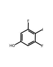 Oc1cc(F)c(I)c(F)c1